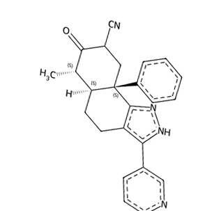 C[C@@H]1C(=O)C(C#N)C[C@]2(c3ccccc3)c3n[nH]c(-c4ccnnc4)c3CC[C@@H]12